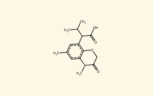 Cc1cc(C(C(=O)O)C(C)C)c2c(c1)N(C)C(=O)CO2